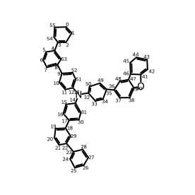 c1ccc(-c2cccc(-c3ccc(N(c4ccc(-c5cccc(-c6ccccc6)c5)cc4)c4ccc(-c5ccc6oc7ccccc7c6c5)cc4)cc3)c2)cc1